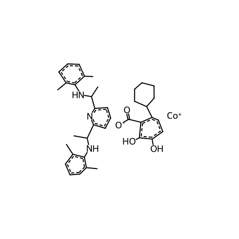 Cc1cccc(C)c1NC(C)c1cccc(C(C)Nc2c(C)cccc2C)n1.O=C([O-])c1c(C2CCCCC2)ccc(O)c1O.[Co+]